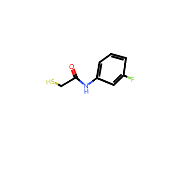 O=C(CS)Nc1cccc(F)c1